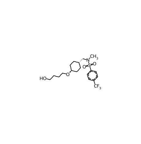 CN(C[C@H]1CC[C@H](OCCCCO)CC1)S(=O)(=O)c1ccc(C(F)(F)F)cc1